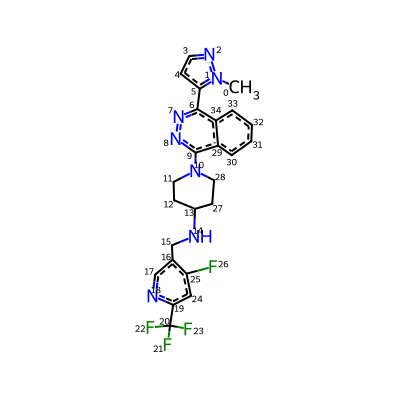 Cn1nccc1-c1nnc(N2CCC(NCc3cnc(C(F)(F)F)cc3F)CC2)c2ccccc12